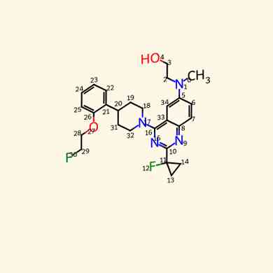 CN(CCO)c1ccc2nc(C3(F)CC3)nc(N3CCC(c4ccccc4OCCF)CC3)c2c1